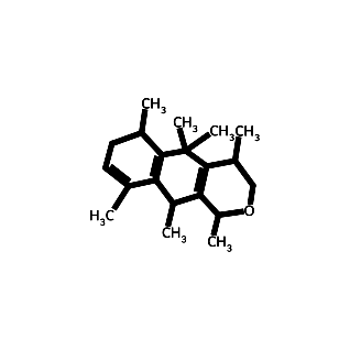 CC1=CCC(C)C2=C1C(C)C1=C(C(C)COC1C)C2(C)C